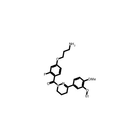 CCOc1cc(C2=NN(C(=O)c3ccc(OCCCN)cc3F)CCC2)ccc1OC